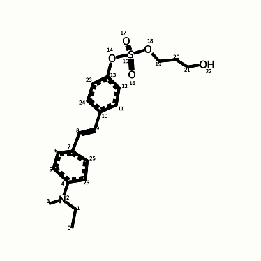 CCN(C)c1ccc(C=Cc2ccc(OS(=O)(=O)OCCCO)cc2)cc1